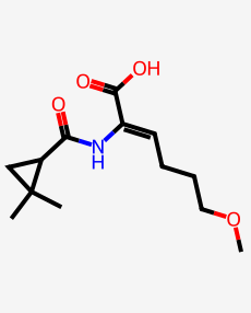 COCCC/C=C(\NC(=O)C1CC1(C)C)C(=O)O